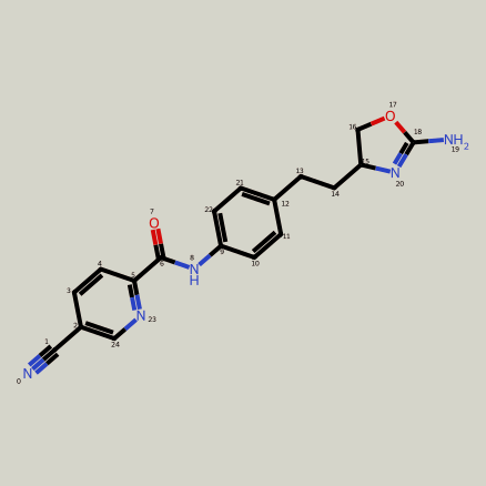 N#Cc1ccc(C(=O)Nc2ccc(CCC3COC(N)=N3)cc2)nc1